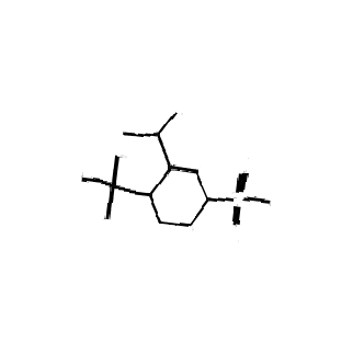 CC(C)C1CC(S(C)(=O)=O)CCC1C(C)(C)C